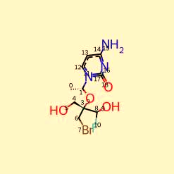 C[C@@H](O[C@@](CO)(CBr)[C@@H](O)F)n1ccc(N)nc1=O